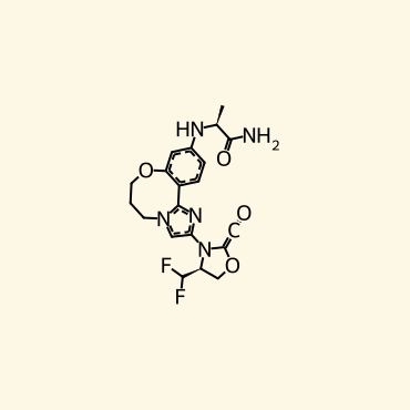 C[C@H](Nc1ccc2c(c1)OCCCn1cc(N3C(=C=O)OC[C@H]3C(F)F)nc1-2)C(N)=O